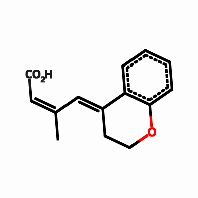 CC(=C/C(=O)O)/C=C1\CCOc2ccccc21